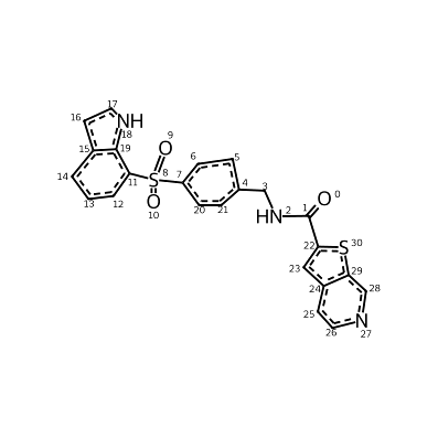 O=C(NCc1ccc(S(=O)(=O)c2cccc3cc[nH]c23)cc1)c1cc2ccncc2s1